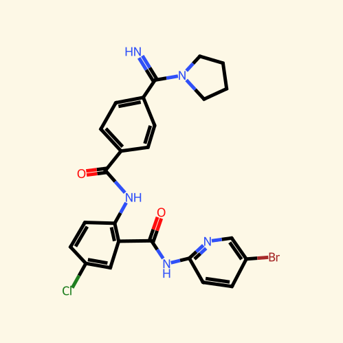 N=C(c1ccc(C(=O)Nc2ccc(Cl)cc2C(=O)Nc2ccc(Br)cn2)cc1)N1CCCC1